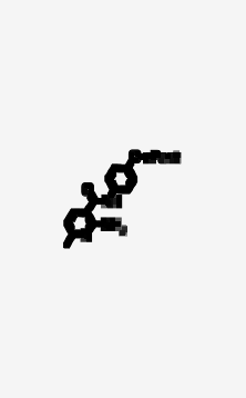 CCCCCOc1ccc(NC(=O)c2ccc(C)nc2N)cc1